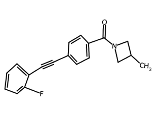 CC1CN(C(=O)c2ccc(C#Cc3ccccc3F)cc2)C1